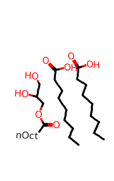 CCCCCCCCC(=O)O.CCCCCCCCC(=O)O.CCCCCCCCC(=O)OCC(O)CO